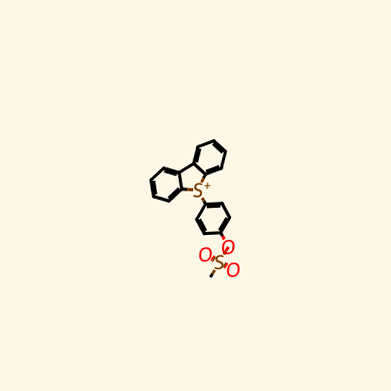 CS(=O)(=O)Oc1ccc(-[s+]2c3ccccc3c3ccccc32)cc1